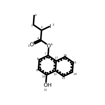 CCC(I)C(=O)Oc1ccc(O)c2ccccc12